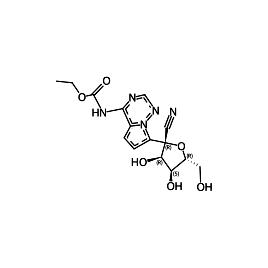 CCOC(=O)Nc1ncnn2c([C@]3(C#N)O[C@H](CO)[C@@H](O)[C@H]3O)ccc12